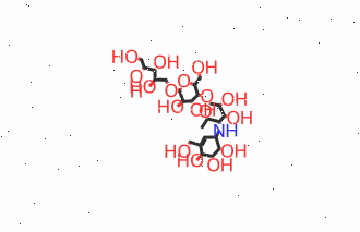 CC1OC(OC2C(CO)OC(OCC(O)C(O)C(O)CO)C(O)C2O)C(O)C(O)C1NC1C=C(CO)C(O)C(O)C1O